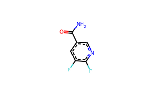 NC(=O)c1cnc(F)c(F)c1